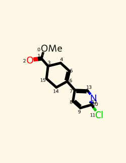 COC(=O)C1CC=C(c2ccc(Cl)nc2)CC1